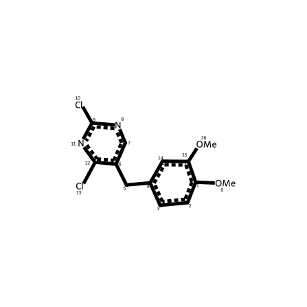 COc1ccc(Cc2cnc(Cl)nc2Cl)cc1OC